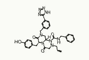 C=CCN1CC(=O)N2[C@@H](Cc3ccc(O)cc3)C(=O)N(Cc3cccc(-c4nnn[nH]4)c3)C[C@@H]2N1C(=O)NCc1ccccc1